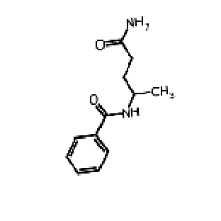 CC(CCC(N)=O)NC(=O)c1ccccc1